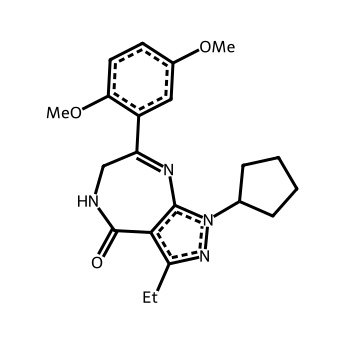 CCc1nn(C2CCCC2)c2c1C(=O)NCC(c1cc(OC)ccc1OC)=N2